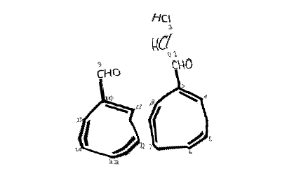 Cl.Cl.O=Cc1ccccc1.O=Cc1ccccc1